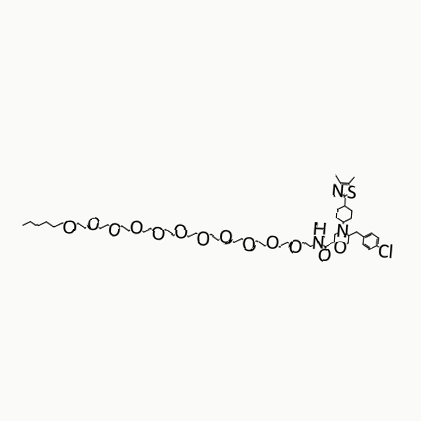 CCCCCCOCCOCCOCCOCCOCCOCCOCCOCCOCCOCCOCCNC(=O)C1CN(C2CCC(c3nc(C)c(C)s3)CC2)C(Cc2ccc(Cl)cc2)CO1